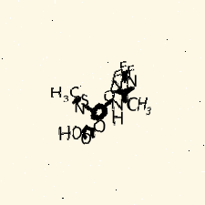 Cc1cnc(-c2cc(O[C@H]3CO[C@@H](O)C3)cc(C(=O)N[C@H](C)c3cnc(C(F)(F)F)nc3)c2)s1